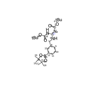 CC(C)(C)OC(=O)/N=C(/NCc1cccc(B2OC(C)(C)C(C)(C)O2)c1)NC(=O)OC(C)(C)C